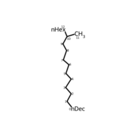 [CH2]CCCCCCCCCCCCCCCCCCC(C)CCCCC[CH2]